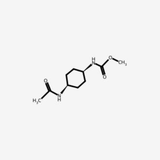 COC(=O)N[C@H]1CC[C@@H](NC(C)=O)CC1